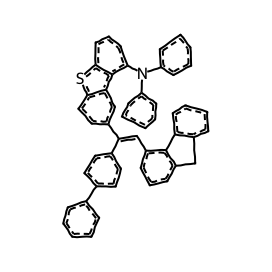 C(=C(/c1ccc(-c2ccccc2)cc1)c1ccc2sc3cccc(N(c4ccccc4)c4ccccc4)c3c2c1)/c1cccc2c1-c1ccccc1C2